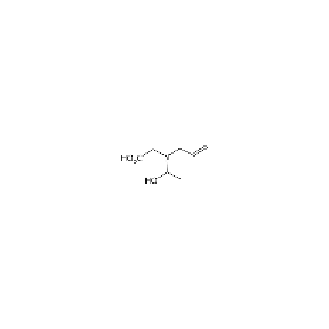 C=CCN(CC(=O)O)C(C)O